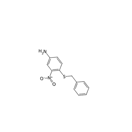 Nc1ccc(SCc2ccccc2)c([N+](=O)[O-])c1